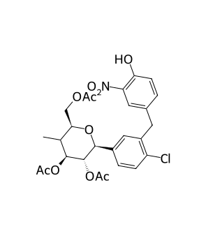 CC(=O)OC[C@H]1O[C@@H](c2ccc(Cl)c(Cc3ccc(O)c([N+](=O)[O-])c3)c2)[C@H](OC(C)=O)[C@@H](OC(C)=O)C1C